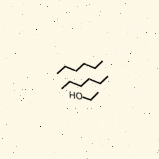 CCCCCC.CCCCCC.CCO